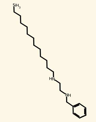 [SiH3]CCCCCCCCCCCCNCCNCc1ccccc1